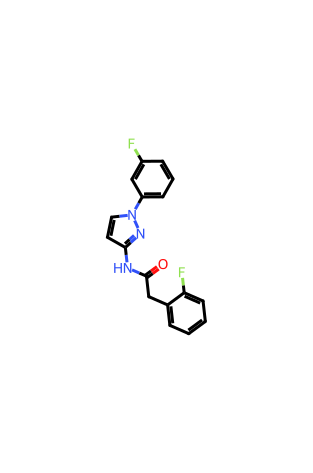 O=C(Cc1ccccc1F)Nc1ccn(-c2cccc(F)c2)n1